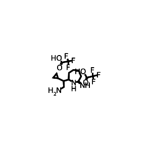 N=C1CCCCC(C(CN)C2CC2)N1.O=C(O)C(F)(F)F.O=C(O)C(F)(F)F